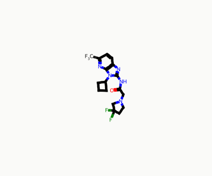 O=C(CN1CCC(F)(F)C1)Nc1nc2ccc(C(F)(F)F)nc2n1C1CCC1